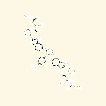 COC(=O)N[C@H](C(=O)N1CCCC1c1nc2ccc([C@H]3CC[C@H](c4ccc5nc([C@@H]6CCCN6C(=O)[C@@H](NC(=O)OC)C(C)C)[nH]c5c4)N3c3ccc(C(F)(F)F)nc3)cc2[nH]1)C(C)C